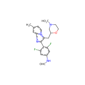 Cc1ccn2c(CC3CN(C(=O)O)CCO3)c(-c3c(F)cc(NC=O)cc3F)nc2c1